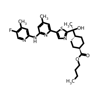 CCCCOC(=O)[C@H]1CC[C@H]([C@](C)(O)c2ncc(-c3cc(C)cc(Nc4cc(C)c(F)cn4)n3)s2)CC1